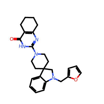 O=c1[nH]c(N2CCC3(CC2)CN(Cc2ccco2)c2ccccc23)nc2c1CCCC2